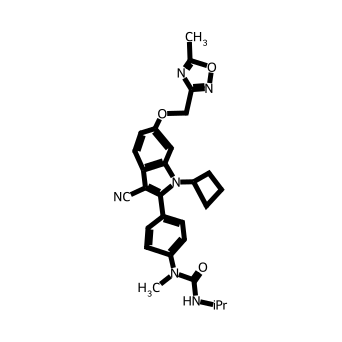 Cc1nc(COc2ccc3c(C#N)c(-c4ccc(N(C)C(=O)NC(C)C)cc4)n(C4CCC4)c3c2)no1